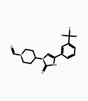 O=CN1CCC(n2cc(-c3cccc(C(F)(F)F)c3)[nH]c2=O)CC1